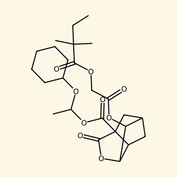 CCC(C)(C)C(=O)OCC(=O)OC1C2CC3C1OC(=O)C3(C(=O)OC(C)OC1CCCCC1)C2